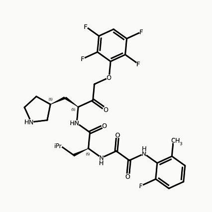 Cc1cccc(F)c1NC(=O)C(=O)N[C@@H](CC(C)C)C(=O)N[C@@H](C[C@@H]1CCNC1)C(=O)COc1c(F)c(F)cc(F)c1F